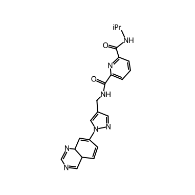 CC(C)NC(=O)c1cccc(C(=O)NCc2cnn(C3=CC4N=CN=CC4C=C3)c2)n1